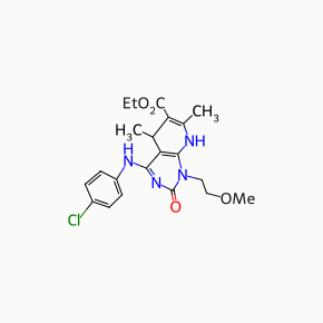 CCOC(=O)C1=C(C)Nc2c(c(Nc3ccc(Cl)cc3)nc(=O)n2CCOC)C1C